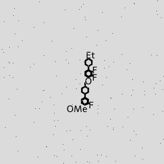 CCC1CCC(c2ccc(OCC3CCC(c4ccc(OC)c(F)c4)CC3)c(F)c2F)CC1